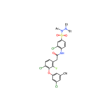 CCN(CC)N(C(C)=O)S(=O)(=O)c1ccc(NC(=O)Cc2ccc(Cl)c(Oc3cc(Cl)cc(C#N)c3)c2F)c(Cl)c1